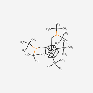 CC(C)(C)P(C[C]12[CH]3[C]4([Si](C)(C)C)[C]5([Si](C)(C)C)[C]1(CP(C(C)(C)C)C(C)(C)C)[Fe]32451678[CH]2[CH]1[CH]6[CH]7[CH]28)C(C)(C)C